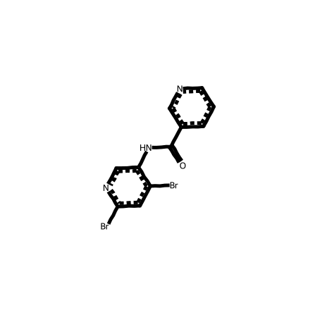 O=C(Nc1cnc(Br)cc1Br)c1cccnc1